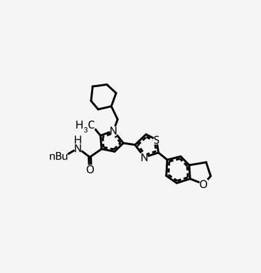 CCCCNC(=O)c1cc(-c2csc(-c3ccc4c(c3)CCO4)n2)n(CC2CCCCC2)c1C